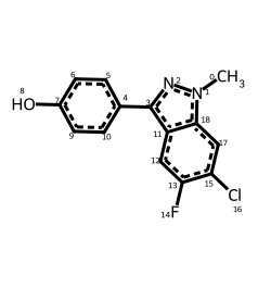 Cn1nc(-c2ccc(O)cc2)c2cc(F)c(Cl)cc21